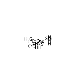 Cc1ccc(NC(=O)Nc2nc(CCSC3=NCCN3)cs2)c(C(=O)C2CCCC2)c1